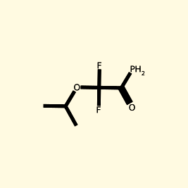 CC(C)OC(F)(F)C(=O)P